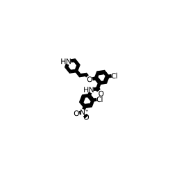 O=C(Nc1ccc([N+](=O)[O-])cc1Cl)c1cc(Cl)ccc1OCCC1CCNCC1